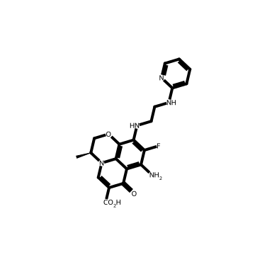 C[C@H]1COc2c(NCCNc3ccccn3)c(F)c(N)c3c(=O)c(C(=O)O)cn1c23